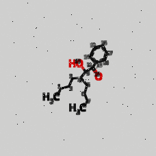 CCCCC(CCCC)C(O)C(=O)c1ccccc1